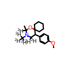 [2H]C([2H])([2H])N1C([2H])(C)OC2(CCCCC2)C(c2ccc(OC)cc2)C1([2H])[2H]